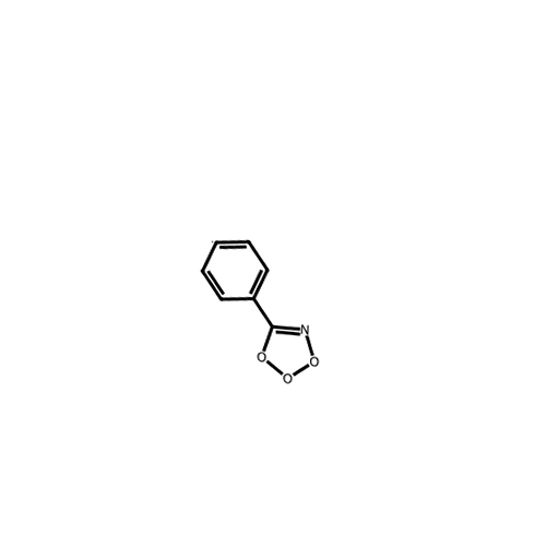 [c]1ccc(C2=NOOO2)cc1